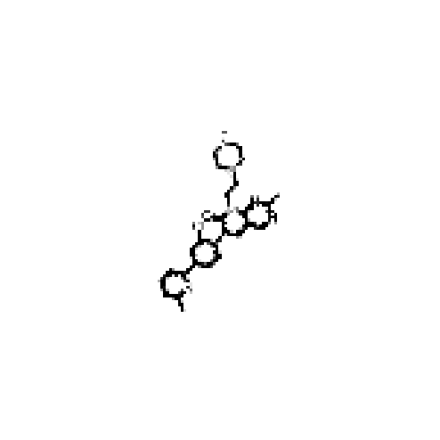 Cc1cccc(-c2ccc(-c3cc4cnc(C)nc4n(CCN4CCNCC4)c3=O)c(Cl)c2)n1